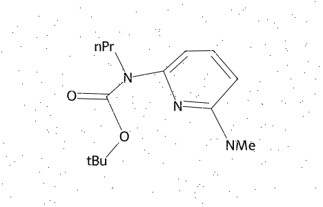 CCCN(C(=O)OC(C)(C)C)c1cccc(NC)n1